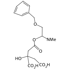 CNC(COCc1ccccc1)OC(=O)CC(O)(CC(=O)O)C(=O)O